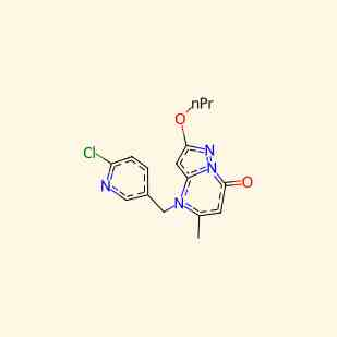 CCCOc1cc2n(Cc3ccc(Cl)nc3)c(C)cc(=O)n2n1